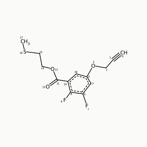 C#CCOc1[c]c(F)c(F)c(C(=O)OCCSC)c1